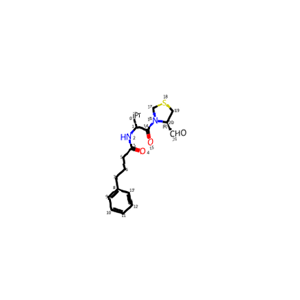 CC(C)C(NC(=O)CCCc1ccccc1)C(=O)N1CSC[C@H]1C=O